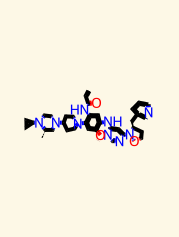 C=CC(=O)Nc1cc(Nc2cc(N3OCC[C@@H]3Cc3cccnc3)ncn2)c(OC)cc1N1CCC(N2CCN(C3CC3)[C@@H](C)C2)CC1